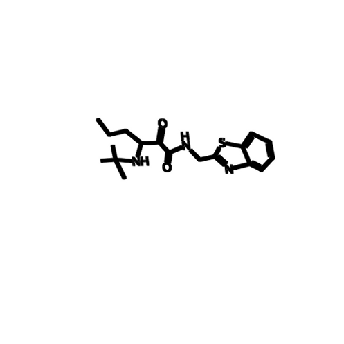 CCCC(NC(C)(C)C)C(=O)C(=O)NCc1nc2ccccc2s1